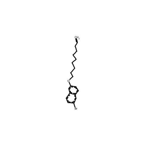 C=CCCCCCCCCOc1ccc2cc(Br)ccc2c1